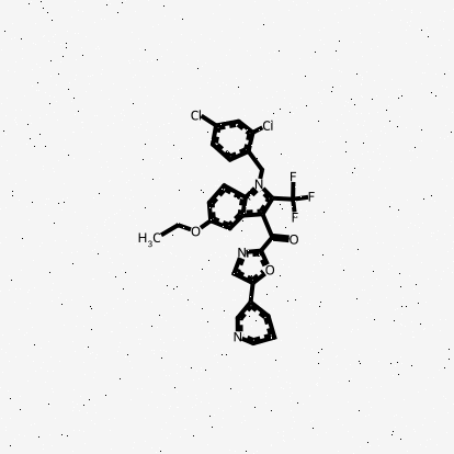 CCOc1ccc2c(c1)c(C(=O)c1ncc(-c3cccnc3)o1)c(C(F)(F)F)n2Cc1ccc(Cl)cc1Cl